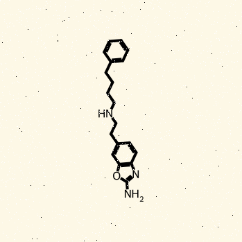 Nc1nc2ccc(CCNCCCCc3ccccc3)cc2o1